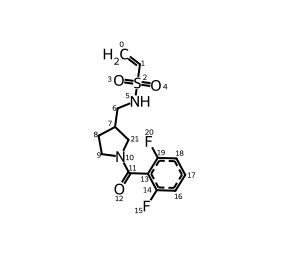 C=CS(=O)(=O)NCC1CCN(C(=O)c2c(F)cccc2F)C1